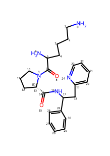 NCCCCC(N)C(=O)N1CCC[C@H]1C(=O)NC(Cc1ccccn1)c1ccccc1